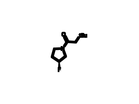 CC(C)(C)CC(=O)N1CC[C@@H](F)C1